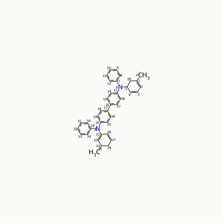 CC1=CC=CC(N(c2ccccc2)c2ccc(-c3ccc(N(C4=CC(C)CC=C4)c4ccccc4)cc3)cc2)C1